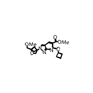 COCC12CC(n3cc4cc(C(=O)OC)c(OC5CCC5)nc4n3)(CO1)C2